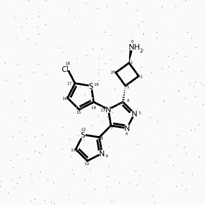 N[C@H]1C[C@H](c2nnc(-c3nccs3)n2-c2ccc(Cl)s2)C1